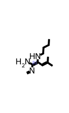 C=N/C(N)=C(\C=C(C)C)NCCCC